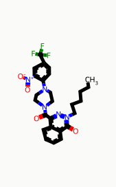 CCCCCCn1nc(C(=O)N2CCN(c3ccc(C(F)(F)F)cc3[N+](=O)[O-])CC2)c2ccccc2c1=O